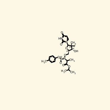 Cc1ccc(O[PH](=O)N(OC[C@H]2OC(n3ccc(=O)[nH]c3=O)[C@](C)(F)[C@@H]2O)C(C)C(=O)OC(C)C)cc1